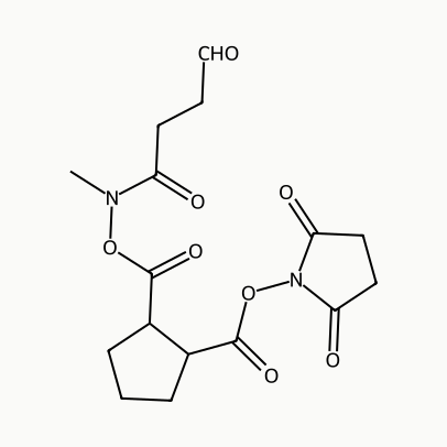 CN(OC(=O)C1CCCC1C(=O)ON1C(=O)CCC1=O)C(=O)CCC=O